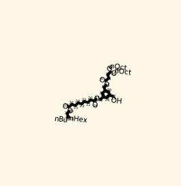 CCCCCCCCOC(CCC(=O)OCc1cc(CO)cc(COC(=O)CCCCCCCC(=O)OCC(CCCC)CCCCCC)c1)OCCCCCCCC